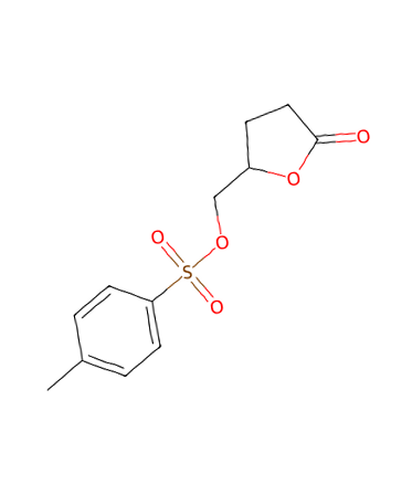 Cc1ccc(S(=O)(=O)OCC2CCC(=O)O2)cc1